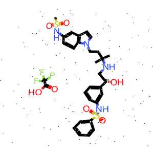 CC(C)(CCn1ccc2cc(NS(C)(=O)=O)ccc21)NC[C@H](O)c1cccc(NS(=O)(=O)c2ccccc2)c1.O=C(O)C(F)(F)F